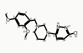 COc1ccc(CN2CCCN(c3ccc(Cl)nn3)C2)c(OC)c1